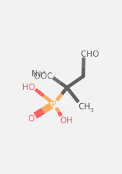 CC(CC=O)(C(=O)[O-])P(=O)(O)O.[Na+]